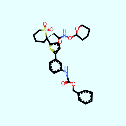 O=C(C[C@]1(c2ccc(-c3cccc(NC(=O)OCc4ccccc4)c3)s2)CCCCS1(=O)=O)NOC1CCCCO1